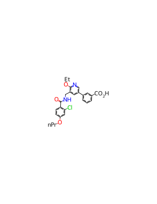 CCCOc1ccc(C(=O)NCc2cc(-c3cccc(C(=O)O)c3)cnc2OCC)c(Cl)c1